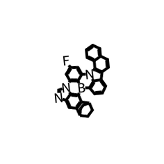 Fc1cc2c3c(c1)-n1c4c(cccc4c4ccc5ccccc5c41)B3c1c3c(cc4ncn-2c14)C1CCC3CC1